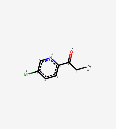 CC(C)CC(=O)c1ccc(Br)cn1